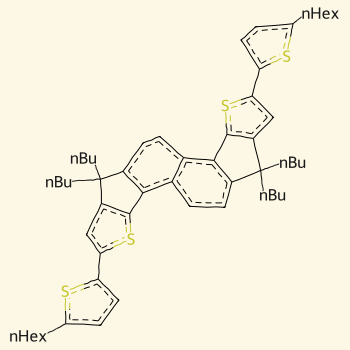 CCCCCCc1ccc(-c2cc3c(s2)-c2c(ccc4c5c(ccc24)C(CCCC)(CCCC)c2cc(-c4ccc(CCCCCC)s4)sc2-5)C3(CCCC)CCCC)s1